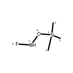 C[Si](C)(C)OBF